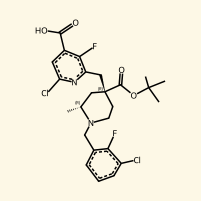 C[C@@H]1C[C@](Cc2nc(Cl)cc(C(=O)O)c2F)(C(=O)OC(C)(C)C)CCN1Cc1cccc(Cl)c1F